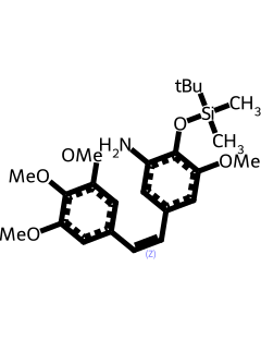 COc1cc(/C=C\c2cc(OC)c(OC)c(OC)c2)cc(N)c1O[Si](C)(C)C(C)(C)C